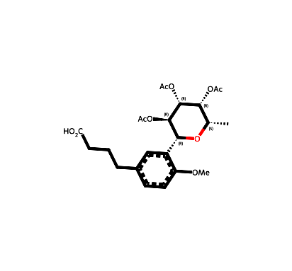 COc1ccc(CCCC(=O)O)cc1[C@H]1O[C@@H](C)[C@@H](OC(C)=O)[C@@H](OC(C)=O)[C@@H]1OC(C)=O